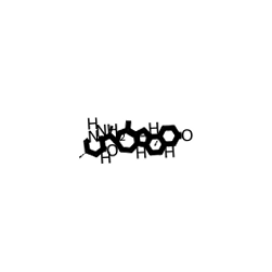 CC1=C2C[C@H]3[C@@H](CC[C@@H]4CC(=O)CC[C@@]43C)[C@@H]2CCC2(C1)O[C@@H]1C[C@H](C)CN[C@@]1(N)[C@H]2C